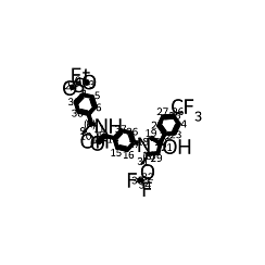 CCS(=O)(=O)c1ccc([C@H](CO)NC(=O)c2ccc(N3CC(O)(c4ccc(C(F)(F)F)cc4)C[C@H]3COC(F)F)cc2)cc1